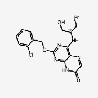 CC(C)C[C@H](CO)Nc1nc(OCc2ccccc2Cl)nc2[nH]c(=O)cnc12